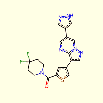 O=C(c1cc(-c2cnn3cc(-c4cn[nH]c4)cnc23)cs1)N1CCC(F)(F)CC1